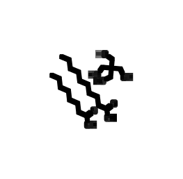 CCCCCCCC(=O)O.CCCCCCCCCC(=O)O.OCC(CO)(CO)CO